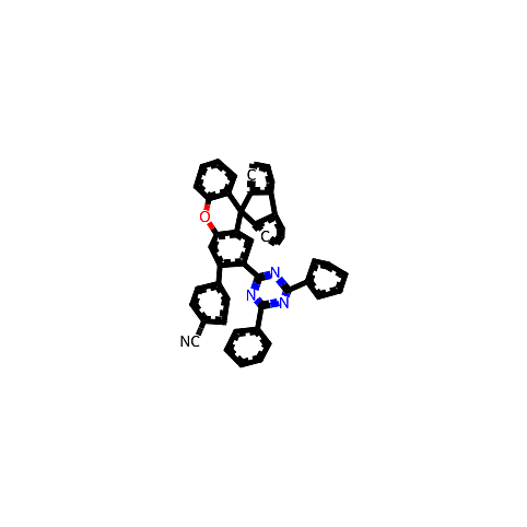 N#Cc1ccc(-c2cc3c(cc2-c2nc(-c4ccccc4)nc(-c4ccccc4)n2)C2(c4ccccc4O3)c3ccccc3-c3ccccc32)cc1